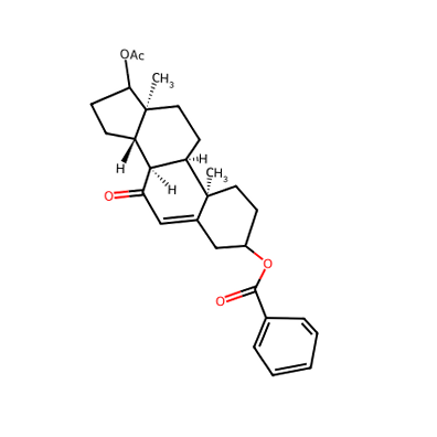 CC(=O)OC1CC[C@H]2[C@@H]3C(=O)C=C4CC(OC(=O)c5ccccc5)CC[C@]4(C)[C@@H]3CC[C@]12C